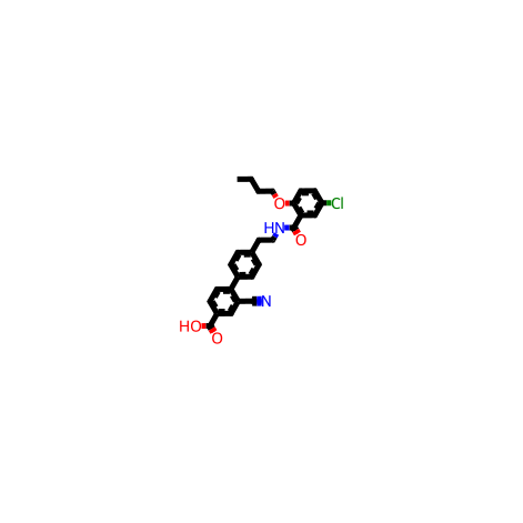 CCCCOc1ccc(Cl)cc1C(=O)NCCc1ccc(-c2ccc(C(=O)O)cc2C#N)cc1